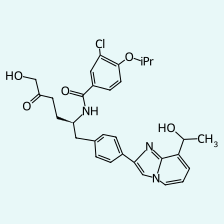 CC(C)Oc1ccc(C(=O)N[C@H](CCC(=O)CO)Cc2ccc(-c3cn4cccc(C(C)O)c4n3)cc2)cc1Cl